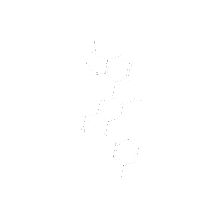 CNc1nc(Nc2ccnc(C)c2)c(C(N)=O)nc1-c1cncc2c1ncn2C